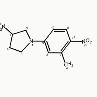 Cc1cc(N2CCC(N)C2)ccc1[N+](=O)[O-]